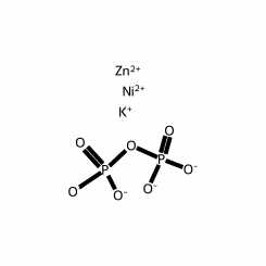 O=P([O-])([O-])OP(=O)([O-])[O-].[K+].[Ni+2].[Zn+2]